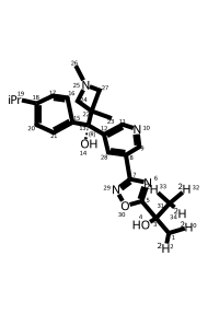 [2H]C([2H])C(O)(c1nc(-c2cncc([C@@](O)(c3ccc(C(C)C)cc3)C3(C)CN(C)C3)c2)no1)C([2H])([2H])[2H]